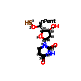 CCCCCC(OS)[C@H]1O[C@@H](n2ccc(=O)[nH]c2=O)C[C@@H]1O